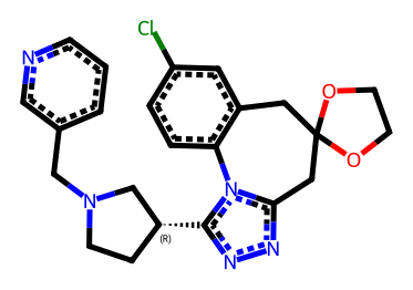 Clc1ccc2c(c1)CC1(Cc3nnc([C@@H]4CCN(Cc5cccnc5)C4)n3-2)OCCO1